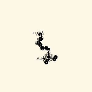 CN[C@@H](C)C(=O)N[C@H](C(=O)N1CC(NC(=O)CCN2CC[C@]3(CCN(c4cc(N5CCC6(CC5)CN(c5cc(F)c(CN7CCC(C)(C)CC7)cc5F)CC(=O)N6)ncn4)C3)C2)C[C@H]1C(=O)N[C@H]1CCCc2ccccc21)C1CCCCC1